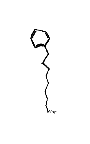 CCCCCCCCCCCCCCC[CH]Cc1ccccc1